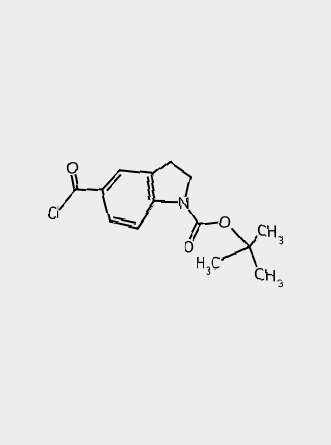 CC(C)(C)OC(=O)N1CCc2cc(C(=O)Cl)ccc21